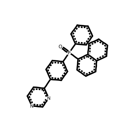 O=P(c1ccccc1)(c1ccc(-c2ccncn2)cc1)c1cccc2ccccc12